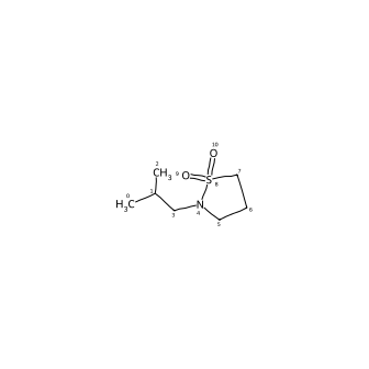 CC(C)CN1CCCS1(=O)=O